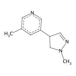 Cc1cncc(C2C=NN(C)C2)c1